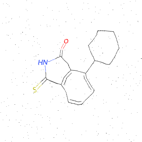 O=C1NC(=S)c2cccc(C3CCCCC3)c21